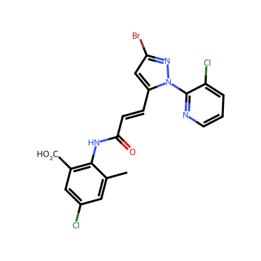 Cc1cc(Cl)cc(C(=O)O)c1NC(=O)/C=C/c1cc(Br)nn1-c1ncccc1Cl